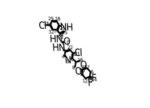 O=C(Nc1cnc(C2COC3(CCC(F)(F)CC3)OC2)c(Cl)c1)Nc1c[nH]c2ccc(Cl)cc12